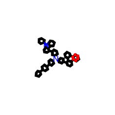 c1ccc(-c2ccc(-c3ccc(N(c4ccc(-c5cccc(-c6ccccc6)c5-c5ccccc5-c5ccccc5)cc4)c4cccc(-c5cccc6c5c5ccccc5n6-c5ccccc5)c4)cc3)cc2)cc1